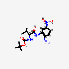 CC(C)[C@H](NC(=O)OC(C)(C)C)C(=O)Nc1cc([N+](=O)[O-])ccc1N